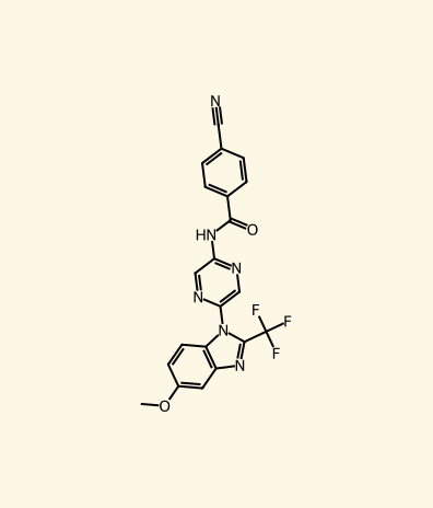 COc1ccc2c(c1)nc(C(F)(F)F)n2-c1cnc(NC(=O)c2ccc(C#N)cc2)cn1